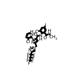 CNC(=O)c1cc(I)cc(C)c1NC(=O)c1cc(Cn2cc(C(F)(F)C(F)(F)C(F)(F)F)nn2)nn1-c1ncccc1Cl